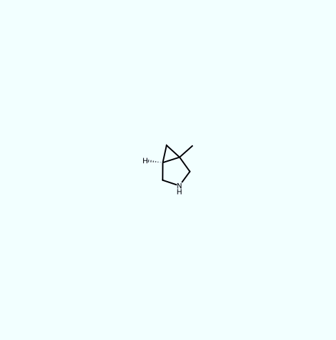 CC12CNC[C@H]1C2